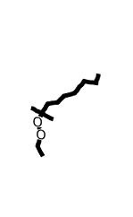 CCCCCCCC(C)(C)OOCC